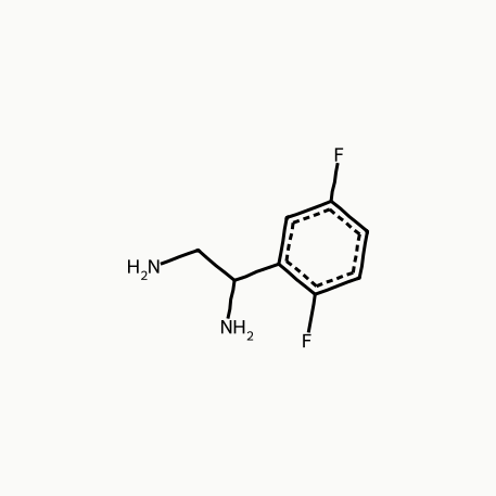 NCC(N)c1cc(F)ccc1F